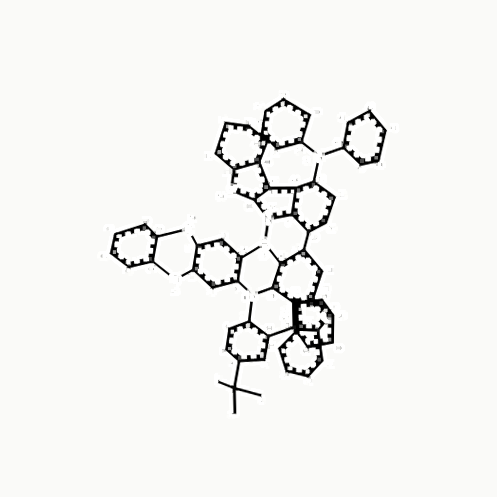 CC(C)(C)c1ccc(N2c3cc4c(cc3B3c5c(cc6oc7ccccc7c6c52)-c2ccc(N(c5ccccc5)c5ccccc5)c5c6c7ccccc7sc6n3c25)Oc2ccccc2O4)c(-c2ccccc2)c1